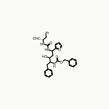 CC(C)C[C@@H]([C]=O)NC(=O)NC(CC(O)C(Cc1ccccc1)NC(=O)OCc1ccccc1)c1ccco1